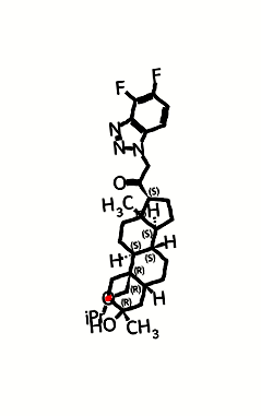 CC(C)OC[C@]12CC[C@@](C)(O)C[C@H]1CC[C@H]1[C@@H]3CC[C@H](C(=O)Cn4nnc5c(F)c(F)ccc54)[C@@]3(C)CC[C@@H]12